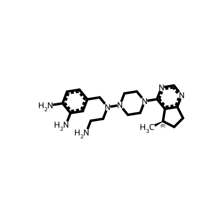 C[C@@H]1CCc2ncnc(N3CCN(N(CCN)Cc4ccc(N)c(N)c4)CC3)c21